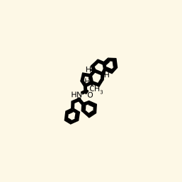 C[C@]12CC[C@@H]3c4ccccc4CC[C@H]3[C@@H]1CCC2C(=O)NC(Cc1ccccc1)c1ccccc1